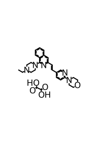 CCN1CCN(c2nc(/C=C/c3ccc(N4CCOCC4)nc3)cc3ccccc23)CC1.O=C(O)C(=O)O